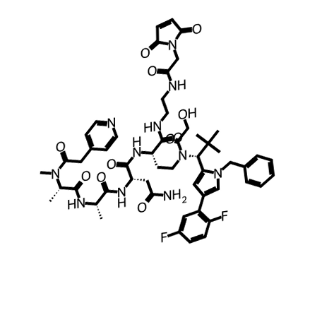 C[C@H](NC(=O)[C@H](C)N(C)C(=O)Cc1ccncc1)C(=O)N[C@@H](CC(N)=O)C(=O)N[C@@H](CCN(C(=O)CO)[C@@H](c1cc(-c2cc(F)ccc2F)cn1Cc1ccccc1)C(C)(C)C)C(=O)NCCNC(=O)CN1C(=O)C=CC1=O